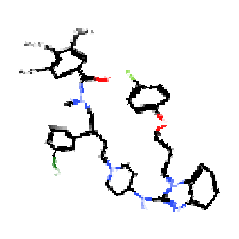 COc1cc(C(=O)N(C)CC(CCN2CCC(Nc3nc4ccccc4n3CCCOc3ccc(F)cc3)CC2)c2cccc(Cl)c2)cc(OC)c1OC